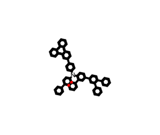 c1ccc(-c2ccc(N(c3ccc(-c4ccc5c6ccccc6c6ccccc6c5c4)cc3)c3ccc(-c4ccc(-c5ccccc5)c(-c5ccccc5)c4)cc3-c3ccccc3)cc2)cc1